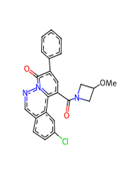 COC1CN(C(=O)c2cc(-c3ccccc3)c(=O)n3ncc4ccc(Cl)cc4c23)C1